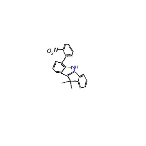 CC1(C)c2ccccc2-c2[nH]c3c(-c4ccccc4[N+](=O)[O-])cccc3c21